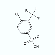 O=S(=O)(O)c1ccc(Cl)c(C(F)(F)F)c1